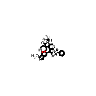 [2H]C([2H])([2H])N1C(=O)C2(CCCNCC2)c2c1cnc1c2c(-c2ccc3c(cnn3C)c2)c(Br)n1S(=O)(=O)c1ccccc1